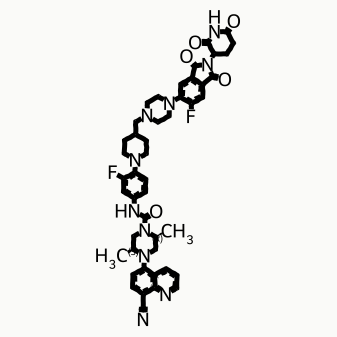 C[C@@H]1CN(c2ccc(C#N)c3ncccc23)[C@@H](C)CN1C(=O)Nc1ccc(N2CCC(CN3CCN(c4cc5c(cc4F)C(=O)N(C4CCC(=O)NC4=O)C5=O)CC3)CC2)c(F)c1